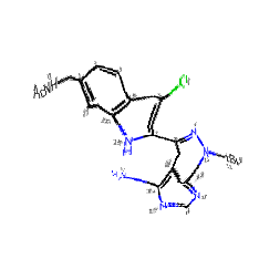 CC(=O)Nc1ccc2c(Cl)c(-c3nn(C(C)(C)C)c4ncnc(N)c34)[nH]c2c1